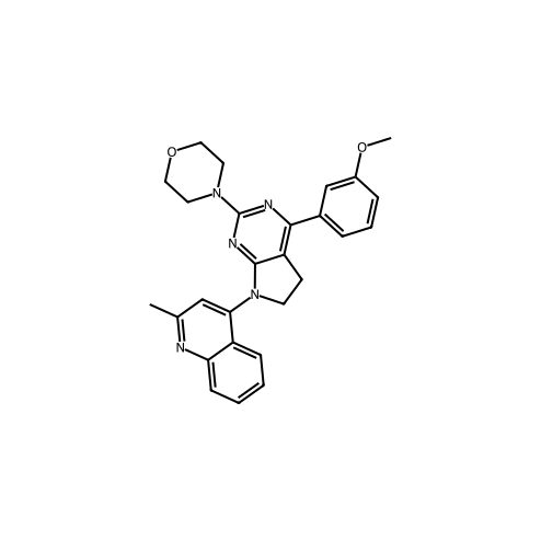 COc1cccc(-c2nc(N3CCOCC3)nc3c2CCN3c2cc(C)nc3ccccc23)c1